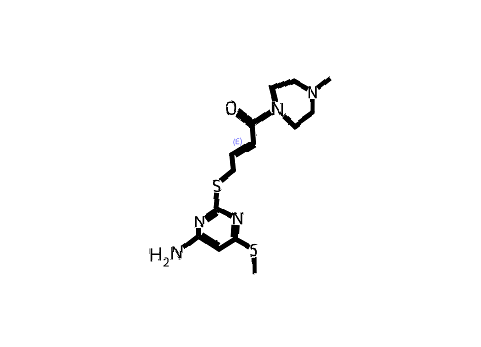 CSc1cc(N)nc(SC/C=C/C(=O)N2CCN(C)CC2)n1